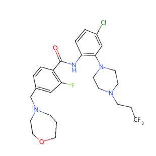 O=C(Nc1ccc(Cl)cc1N1CCN(CCC(F)(F)F)CC1)c1ccc(CN2CCCOCC2)cc1F